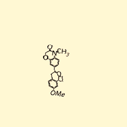 COc1ccc(CC(=O)c2ccc3c(c2)OCC(=O)N3C)c(Cl)c1